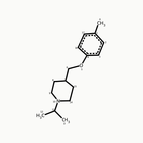 Cc1ccc(OCC2CCN(C(C)C)CC2)cc1